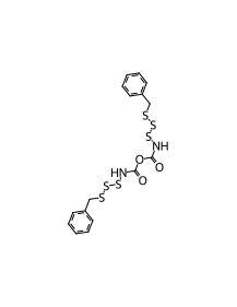 O=C(NSSSCc1ccccc1)OC(=O)NSSSCc1ccccc1